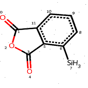 O=C1OC(=O)c2c([SiH3])cccc21